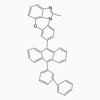 Cc1nc2cccc3c2n1-c1ccc(-c2c4ccccc4c(-c4cccc(-c5ccccc5)c4)c4ccccc24)cc1O3